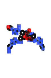 CN1CCN(c2ncnc(Nc3cccc(C(NS(=O)(=O)Cc4cccc(Nc5ncnc(N6CCNCC6)n5)c4)(NS(=O)(=O)Cc4cccc(Nc5ncnc(N6CCOCC6)n5)c4)S(N)(=O)=O)c3)n2)CC1